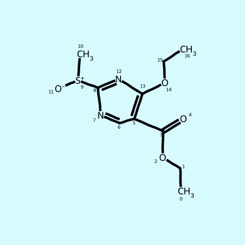 CCOC(=O)c1cnc([S+](C)[O-])nc1OCC